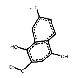 CCOc1cc(O)c2ccc(C)cc2c1O